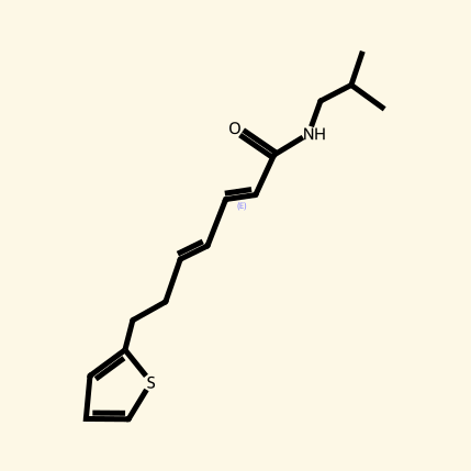 CC(C)CNC(=O)/C=C/C=CCCc1cccs1